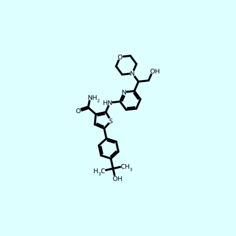 CC(C)(O)c1ccc(-c2cc(C(N)=O)c(Nc3cccc(C(CO)N4CCOCC4)n3)s2)cc1